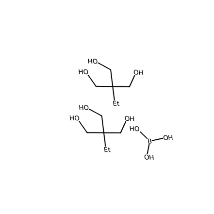 CCC(CO)(CO)CO.CCC(CO)(CO)CO.OB(O)O